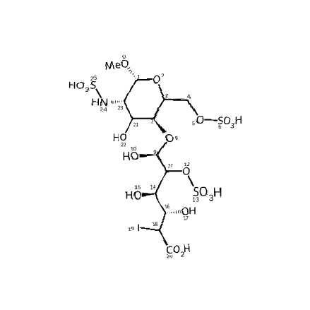 CO[C@@H]1OC(COS(=O)(=O)O)[C@@H](O[C@H](O)C(OS(=O)(=O)O)[C@H](O)[C@H](O)C(I)C(=O)O)C(O)[C@@H]1NS(=O)(=O)O